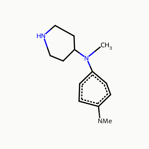 CNc1ccc(N(C)C2CCNCC2)cc1